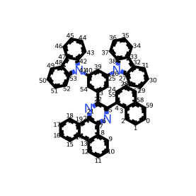 c1ccc2c(-c3nc4c5ccccc5c5ccccc5c4nc3-c3cc(-n4c5ccccc5c5ccccc54)cc(-n4c5ccccc5c5ccccc54)c3)cccc2c1